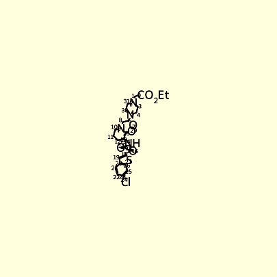 CCOC(=O)CN1CCN(C(=O)CN2CCC[C@H](NS(=O)(=O)c3cc4ccc(Cl)cc4s3)C2=O)CC1